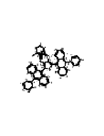 CC12CCC(c3nc4c(-c5c6ccccc6c(-c6ccccc6)c6ccccc56)sc(-c5c6ccccc6c(-c6ccccc6)c6ccccc56)c4nc31)C2(C)C